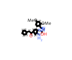 COc1ccc(-c2nnc(O)n2-c2ccc(C(=O)Cc3ccccc3)cc2N)c(OC)c1